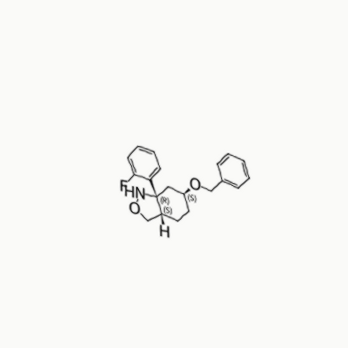 Fc1ccccc1[C@@]12C[C@@H](OCc3ccccc3)CC[C@@H]1CON2